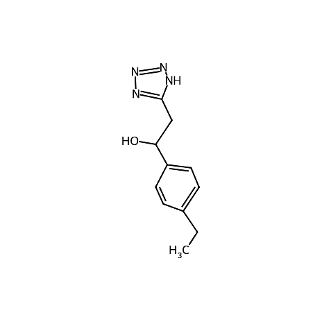 CCc1ccc(C(O)Cc2nnn[nH]2)cc1